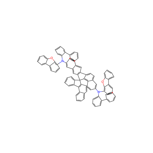 c1ccc(-c2ccccc2N(c2ccc3cc4c(cc3c2)C2(c3ccccc3-c3c2ccc2ccccc32)c2c-4ccc3cc(N(c4ccccc4-c4ccccc4)c4cccc5c4oc4ccccc45)ccc23)c2cccc3c2oc2ccccc23)cc1